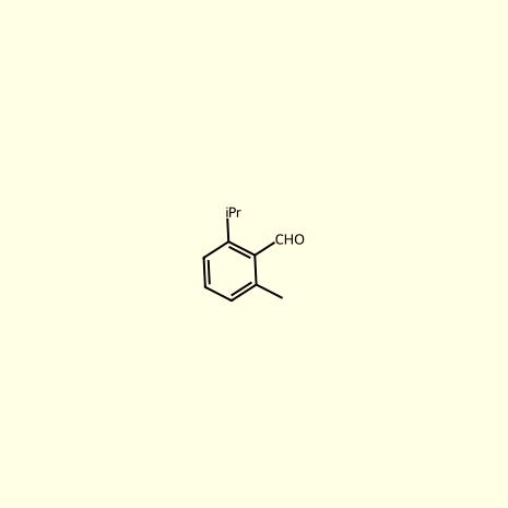 Cc1cccc(C(C)C)c1C=O